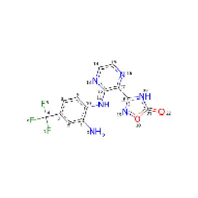 Nc1cc(C(F)(F)F)ccc1Nc1nccnc1-c1noc(=O)[nH]1